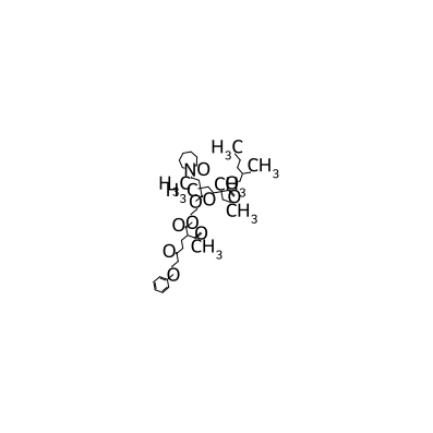 CCCCC(CC)COC(=O)C(C)(CCC)CCC(C)(CC(C)N1CCCCCC1=O)C(=O)OCCOC(=O)C(CCC(=O)CCOc1ccccc1)C(C)=O